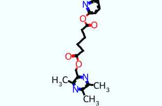 Cc1nc(C)c(COC(=O)CCCCC(=O)Oc2ccccn2)nc1C